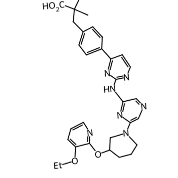 CCOc1cccnc1OC1CCCN(c2cncc(Nc3nccc(-c4ccc(CC(C)(C)C(=O)O)cc4)n3)n2)C1